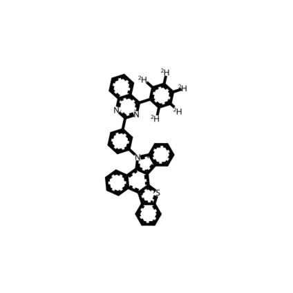 [2H]c1c([2H])c([2H])c(-c2nc(-c3cccc(-n4c5ccccc5c5c6sc7ccccc7c6c6ccccc6c54)c3)nc3ccccc23)c([2H])c1[2H]